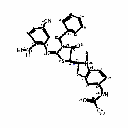 CCNc1ccc(C#N)cc1N=C1S/C(=C2\Sc3cc(NC(=O)C(F)(F)F)ccc3N2C)C(=O)N1Cc1ccccc1